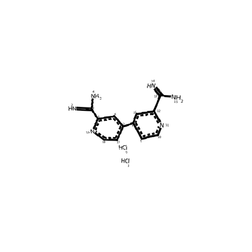 Cl.Cl.N=C(N)c1cc(-c2ccnc(C(=N)N)c2)ccn1